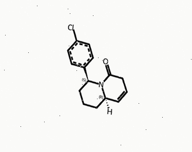 O=C1CC=C[C@H]2CCC[C@@H](c3ccc(Cl)cc3)N12